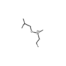 CC[CH][SiH](C)OCC(C)C